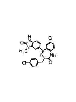 Cn1c(=O)[nH]c2ccc(C3=NC(Cc4ccc(Cl)cc4)C(=O)Nc4ccc(Cl)cc43)cc21